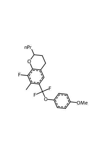 CCCC1CCc2cc(C(F)(F)Oc3ccc(OC)cc3)c(C)c(F)c2O1